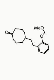 COCOc1ccccc1CCC1CCCC(=O)CCC1